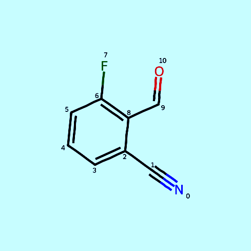 N#Cc1cccc(F)c1C=O